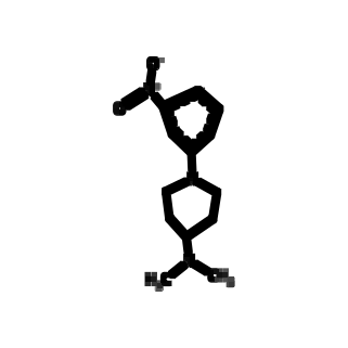 CN(C)C1CCN(c2cc[c]c([N+](=O)[O-])c2)CC1